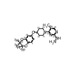 [2H]C1([2H])Oc2ccc(OC3CCN(c4nc(NN)ncc4C)CC3)cc2OC1([2H])[2H]